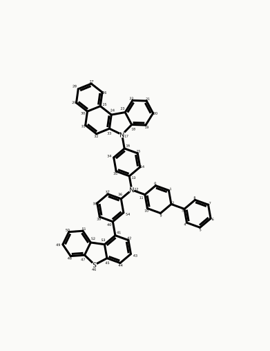 C1=CC(c2ccccc2)CC=C1N(c1ccc(-n2c3ccccc3c3c4ccccc4ccc32)cc1)c1cccc(-c2cccc3sc4ccccc4c23)c1